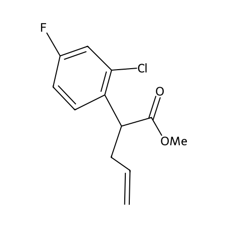 C=CCC(C(=O)OC)c1ccc(F)cc1Cl